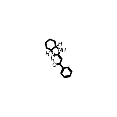 O=C(C=C1N[C@H]2CCCC[C@H]2N1)c1ccccc1